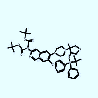 CC(C)(C)OC(=O)N(C(=O)OC(C)(C)C)c1cc2cc(N3CCN(C4(C)COCC4O[Si](c4ccccc4)(c4ccccc4)C(C)(C)C)CC3)c(Cl)cc2cn1